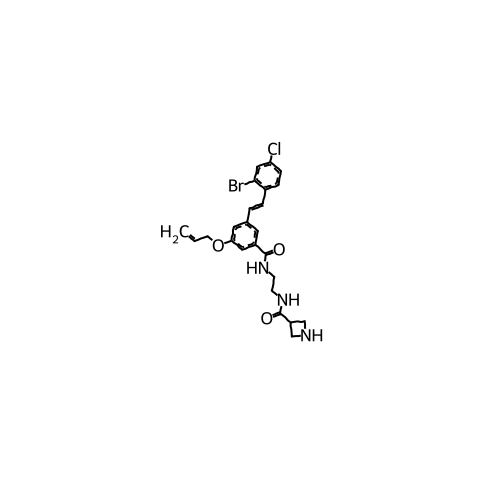 C=CCOc1cc(/C=C/c2ccc(Cl)cc2Br)cc(C(=O)NCCNC(=O)C2CNC2)c1